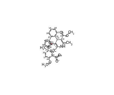 COC(=O)C1=C(C)NC(C)=C(C(=O)OC)C1c1ccccc1-c1nc(-c2ccc(OC)c([N+](=O)[O-])c2)cs1